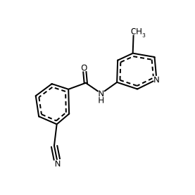 Cc1cncc(NC(=O)c2cccc(C#N)c2)c1